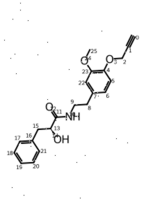 C#CCOc1ccc(CCNC(=O)[C@@H](O)Cc2ccccc2)cc1OC